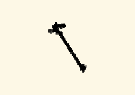 CCCN(CCCNC(=O)OC1CCC1)C(=O)C1=Cc2sc(CNC(=O)CCOCCOCCOCCOCCOCCOCCOCCOCCOCCOCCOCCC(=O)Oc3c(F)c(F)cc(F)c3F)cc2C=C(N)C1